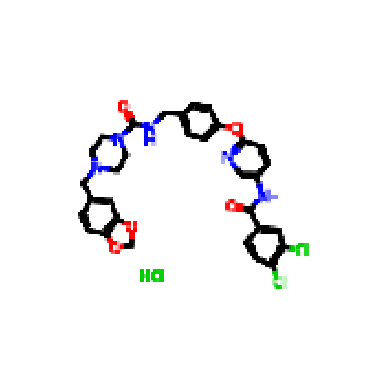 Cl.O=C(Nc1ccc(Oc2ccc(CNC(=O)N3CCN(Cc4ccc5c(c4)OCO5)CC3)cc2)nc1)c1ccc(Cl)c(Cl)c1